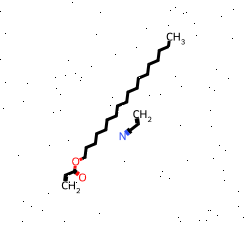 C=CC#N.C=CC(=O)OCCCCCCCCCCCCCCCCCC